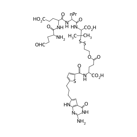 CCCC(NC(=O)C(CCC(=O)O)NC(=O)C(N)CCC=O)C(=O)NC(C(=O)O)C(C)(C)SSCCOC(=O)CCC(NC(=O)c1ccc(CCCc2cc3c(=O)[nH]c(N)nc3[nH]2)s1)C(=O)O